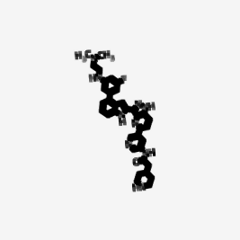 CN(C)CCNc1cc(F)cc(-c2cccc3[nH]c(-c4n[nH]c5ccc(-c6cncc(NC(=O)CC7CCNCC7)c6)nc45)cc23)c1